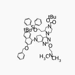 CN(C)CCOc1nc2c(c(N3CCN(C(=O)OC(C)(C)C)CC3CCO[Si](c3ccccc3)(c3ccccc3)C(C)(C)C)n1)CCN(c1cc(OCc3ccccc3)cc3ccccc13)C2